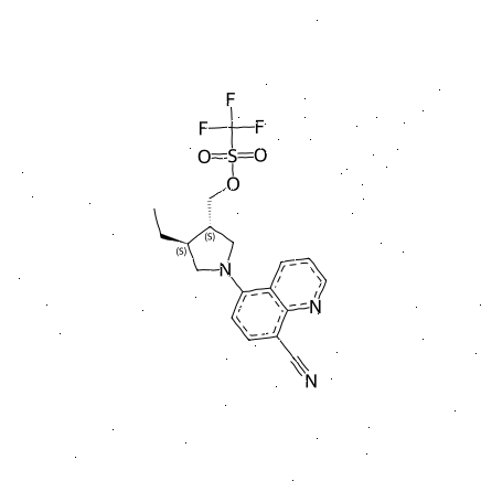 CC[C@@H]1CN(c2ccc(C#N)c3ncccc23)C[C@H]1COS(=O)(=O)C(F)(F)F